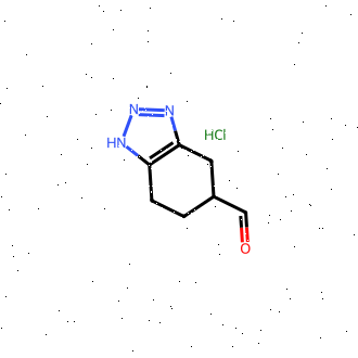 Cl.O=CC1CCc2[nH]nnc2C1